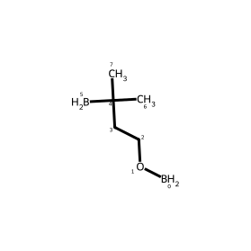 BOCCC(B)(C)C